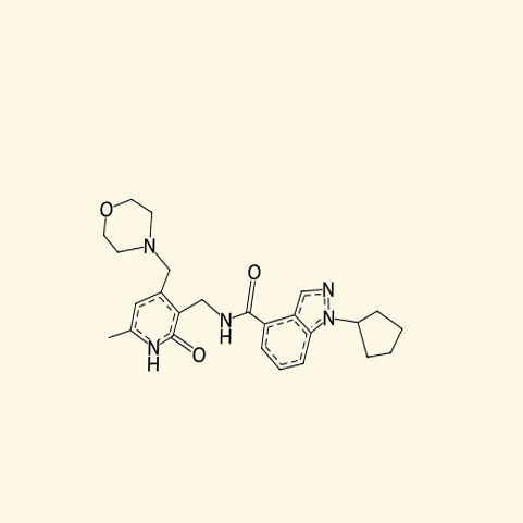 Cc1cc(CN2CCOCC2)c(CNC(=O)c2cccc3c2cnn3C2CCCC2)c(=O)[nH]1